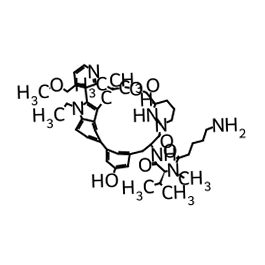 CCn1c(-c2cnccc2COC)c2c3cc(ccc31)-c1cc(O)cc(c1)C[C@H](NC(=O)[C@H](C(C)C)N(C)C(=O)CCCCN)C(=O)N1CCC[C@H](N1)C(=O)OCC(C)(C)C2